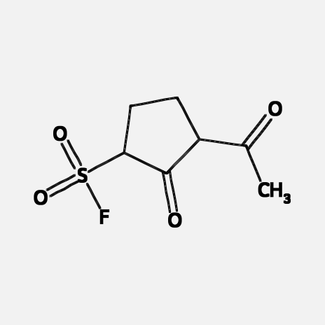 CC(=O)C1CCC(S(=O)(=O)F)C1=O